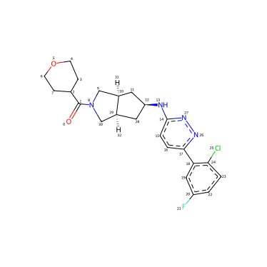 O=C(C1CCOCC1)N1C[C@H]2C[C@@H](Nc3ccc(-c4cc(F)ccc4Cl)nn3)C[C@H]2C1